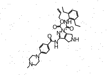 C=CCOC(=O)[N+]1(C(=O)Nc2c(CC)cccc2CC)N=C(NC(=O)c2ccc(N3CCN(C)CC3)cc2)C2=C1CNC2